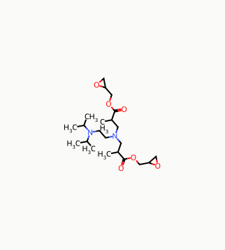 CC(CN(CCN(C(C)C)C(C)C)CC(C)C(=O)OCC1CO1)C(=O)OCC1CO1